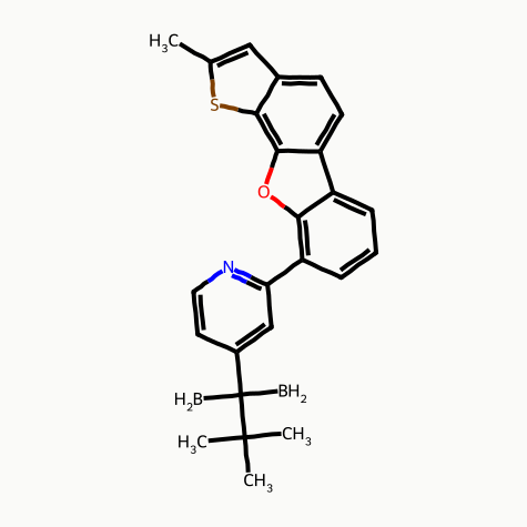 BC(B)(c1ccnc(-c2cccc3c2oc2c3ccc3cc(C)sc32)c1)C(C)(C)C